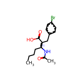 CCCC/C(NC(C)=O)=C(/Cc1ccc(Br)cc1)C(=O)O